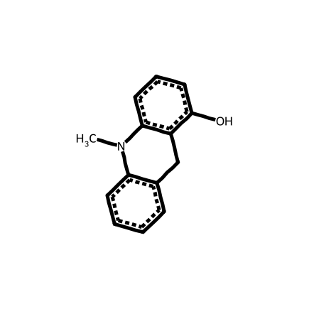 CN1c2ccccc2Cc2c(O)cccc21